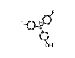 Oc1ccc([SH](c2ccc(F)cc2)c2ccc(F)cc2)cc1